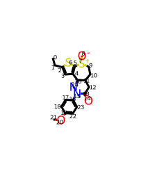 CCc1cc2c(s1)[S+]([O-])CCC1CC(=O)N(c3ccc(OC)cc3)N=C21